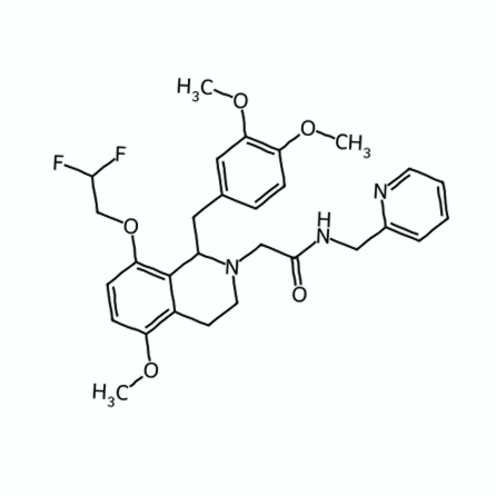 COc1ccc(CC2c3c(OCC(F)F)ccc(OC)c3CCN2CC(=O)NCc2ccccn2)cc1OC